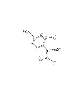 CCN(CC)C(=O)c1ccc(N)nc1C(F)(F)F